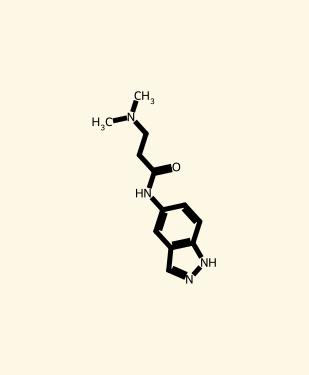 CN(C)CCC(=O)Nc1ccc2[nH]ncc2c1